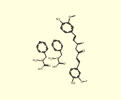 COc1cc(C=CC(=O)CC(=O)C=Cc2ccc(O)c(OC)c2)ccc1O.N[C@@H](Cc1ccccc1)C(=O)O.N[C@@H](Cc1ccccc1)C(=O)O